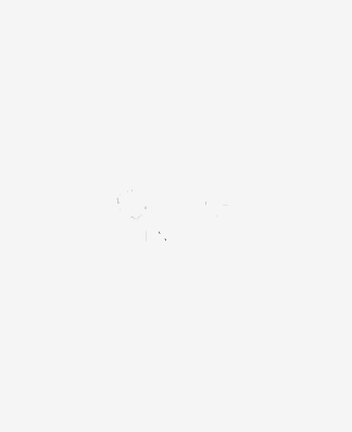 FC(F)(F)OC1CCNC(c2ccccc2)C1